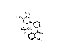 C[C@@H]1CN(c2cc(C(=N)c3cc(OC4(C)CC4)ccc3N)ncn2)CCN1C